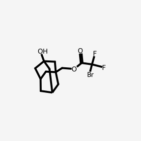 O=C(OCC12CC3CC(CC(O)(C3)C1)C2)C(F)(F)Br